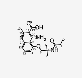 CCC(=O)NC(C)(C)COc1cccc2nc(C)c(C(=O)O)c(N)c12